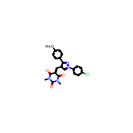 COc1ccc(-c2nn(-c3ccc(Cl)cc3)cc2C=C2C(=O)N(C)C(=O)N(C)C2=O)cc1